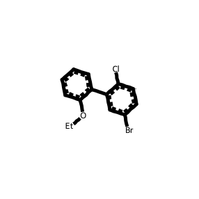 CCOc1ccccc1-c1cc(Br)c[c]c1Cl